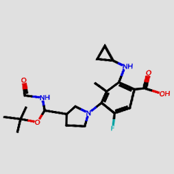 Cc1c(NC2CC2)c(C(=O)O)cc(F)c1N1CCC(C(NC=O)OC(C)(C)C)C1